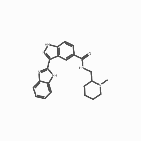 CN1CCCCC1CNC(=O)c1ccc2[nH]nc(-c3nc4ccccc4[nH]3)c2c1